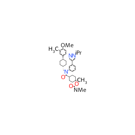 CNC(=O)OC1(C)CCC(C(=O)N(C[C@H]2CC[C@H](c3ccc(OC)c(C)c3)CC2)c2cccc(-c3cnn(C(C)C)c3)c2)CC1